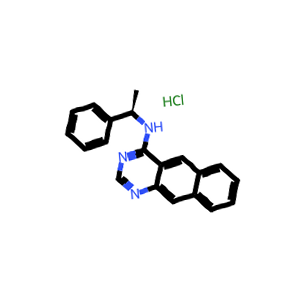 C[C@@H](Nc1ncnc2cc3ccccc3cc12)c1ccccc1.Cl